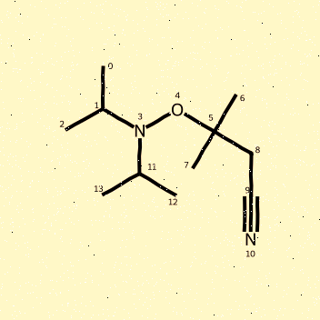 CC(C)N(OC(C)(C)CC#N)C(C)C